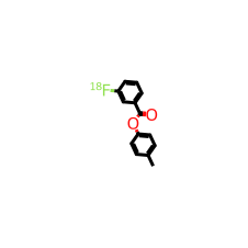 Cc1ccc(OC(=O)c2cccc([18F])c2)cc1